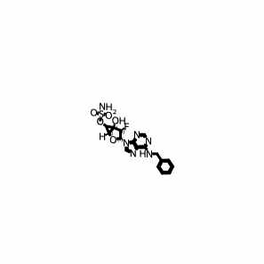 NS(=O)(=O)OC1[C@H]2O[C@@H](n3cnc4c(NCc5ccccc5)ncnc43)[C@H](F)[C@@]12O